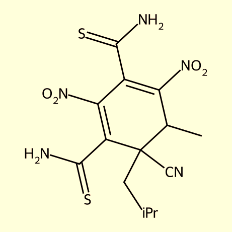 CC(C)CC1(C#N)C(C(N)=S)=C([N+](=O)[O-])C(C(N)=S)=C([N+](=O)[O-])C1C